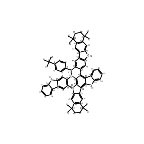 CC(C)(C)c1ccc(N2B3c4cc5sc6ccccc6c5cc4-n4c5cc6c(cc5c5c7sc8ccccc8c7c(c3c54)-c3cc4sc5cc7c(cc5c4cc32)C(C)(C)CCC7(C)C)C(C)(C)CCC6(C)C)cc1